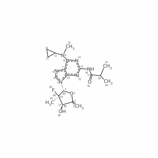 C=C1O[C@@H](n2cnc3c(N(C)C4CC4)nc(NC(=O)C(C)C)nc32)[C@](C)(F)[C@@H]1O